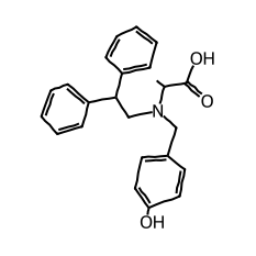 CC(C(=O)O)N(Cc1ccc(O)cc1)CC(c1ccccc1)c1ccccc1